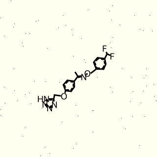 C/C(=N\OCc1ccc(C(F)F)cc1)c1ccc(OCc2nnn[nH]2)cc1